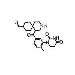 Cc1ccc(C(=O)C2CNCCC23CCC(C=O)CC3)cc1N1CCC(=O)NC1=O